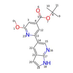 COc1cc(C(=O)OC(C)(C)C)cc(-c2cnc3[nH]ccc3c2)n1